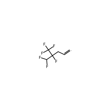 [CH]=CCC(F)(C(F)F)C(F)(F)F